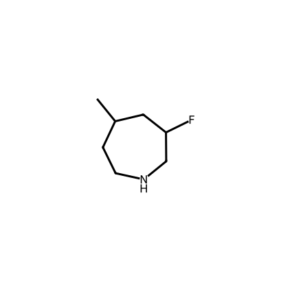 CC1CCNCC(F)C1